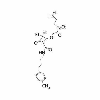 CCNCCN(CC)C(=O)COC1N(C(=O)NCCCCc2ccc(C)cc2)C(=O)C1(CC)CC